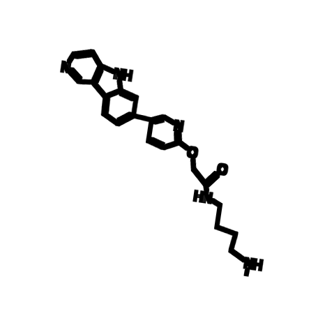 CNCCCCNC(=O)COc1ccc(-c2ccc3c(c2)[nH]c2ccncc23)cn1